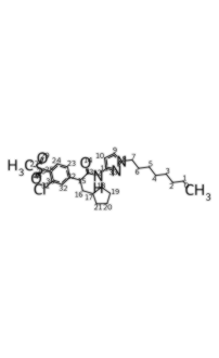 CCCCCCCCn1ccc(NC(=O)C(CC2CCCC2)c2ccc(S(C)(=O)=O)c(Cl)c2)n1